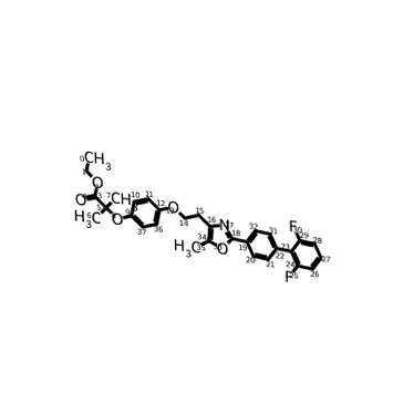 CCOC(=O)C(C)(C)Oc1ccc(OCCc2nc(-c3ccc(-c4c(F)cccc4F)cc3)oc2C)cc1